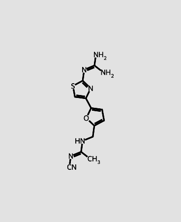 C/C(=N\C#N)NCc1ccc(-c2csc(N=C(N)N)n2)o1